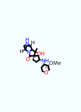 CO[C@@H]1COCC[C@@H]1N[C@@H]1CC[C@@]2(C1)C(=O)N1C([C@@H]3C[C@H]1CN3)C2(C)O